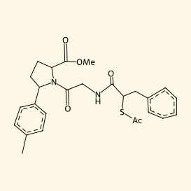 COC(=O)C1CCC(c2ccc(C)cc2)N1C(=O)CNC(=O)C(Cc1ccccc1)SC(C)=O